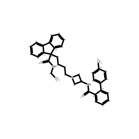 O=C(NC1CN(CCCCC2(C(=O)NCC(F)(F)F)c3ccccc3-c3ccccc32)C1)c1ccccc1-c1ccc(C(F)(F)F)cc1